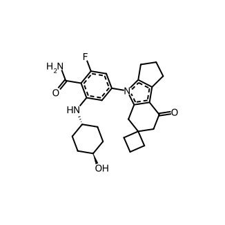 NC(=O)c1c(F)cc(-n2c3c(c4c2CC2(CCC2)CC4=O)CCC3)cc1N[C@H]1CC[C@H](O)CC1